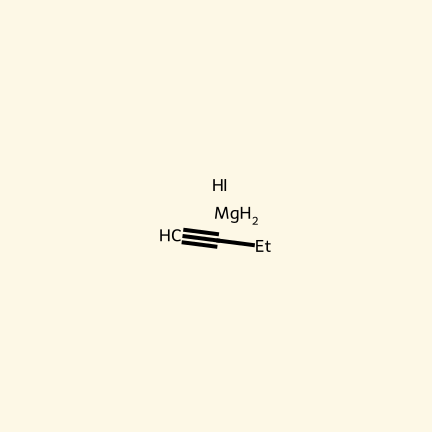 C#CCC.I.[MgH2]